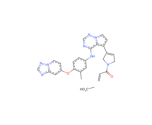 C=CC(=O)N1CC=C(c2ccn3ncnc(Nc4ccc(Oc5ccn6ncnc6c5)c(C)c4)c23)C1.CC(=O)O